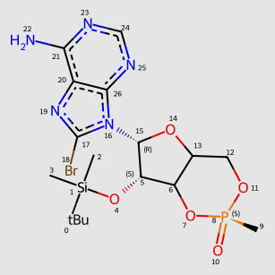 CC(C)(C)[Si](C)(C)O[C@H]1C2O[P@@](C)(=O)OCC2O[C@H]1n1c(Br)nc2c(N)ncnc21